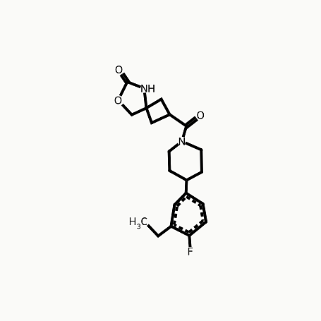 CCc1cc(C2CCN(C(=O)C3CC4(COC(=O)N4)C3)CC2)ccc1F